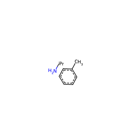 CC(C)N.Cc1ccccc1